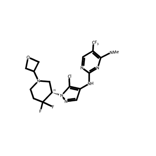 CNc1nc(Nc2cnn([C@H]3CN(C4COC4)CCC3(F)F)c2Cl)ncc1C(F)(F)F